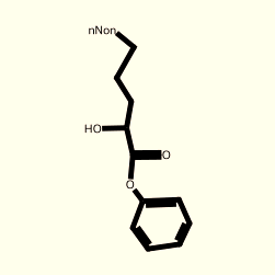 CCCCCCCCCCCCC(O)C(=O)Oc1ccccc1